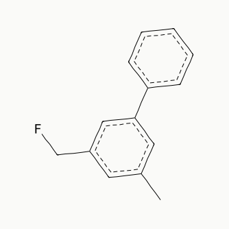 Cc1cc(CF)cc(-c2ccccc2)c1